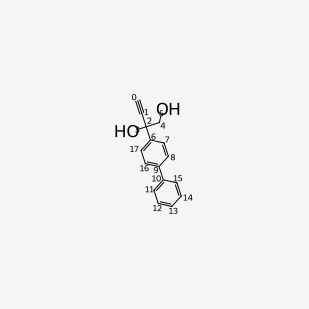 C#CC(O)(CO)c1ccc(-c2ccccc2)cc1